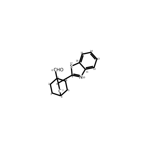 O=CC12CCC(CC1)CC2c1nc2ccccc2s1